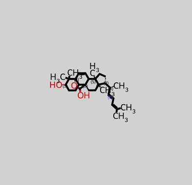 CC(C)=C/C=C/[C@@H](C)[C@H]1CC[C@@]2(C)C3C=C[C@@]45OC(O)[C@]3(CC[C@]12C)C4CC[C@H](O)C5(C)C